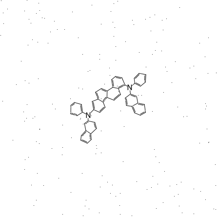 c1ccc(N(c2ccc3ccccc3c2)c2ccc3c(ccc4c5cccc(N(c6ccccc6)c6ccc7ccccc7c6)c5ccc34)c2)cc1